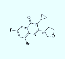 O=c1c2cc(F)cc(Br)c2nc([C@@H]2CCOC2)n1C1CC1